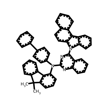 CC1(C)c2ccccc2-c2c(N(c3ccc(-c4ccccc4)cc3)c3nc(-n4c5ccccc5c5c6ccccc6ccc54)c4ccccc4n3)cccc21